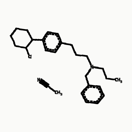 CC#N.CCCN(CCCc1ccc(C2CCCCC2Cl)cc1)Cc1ccccc1